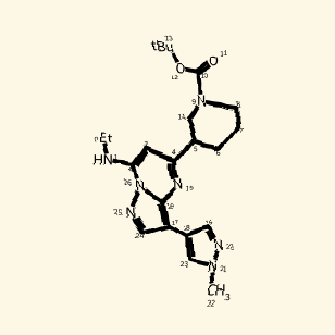 CCNc1cc(C2CCCN(C(=O)OC(C)(C)C)C2)nc2c(-c3cnn(C)c3)cnn12